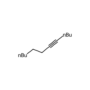 [CH2]CCCC#CCCCCC[CH2]